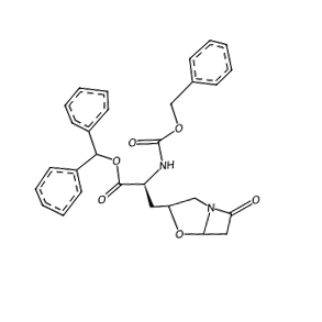 O=C(N[C@@H](CC1CN2C(=O)CC2O1)C(=O)OC(c1ccccc1)c1ccccc1)OCc1ccccc1